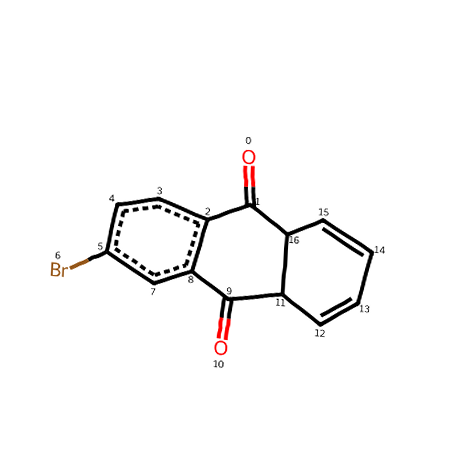 O=C1c2ccc(Br)cc2C(=O)C2C=CC=CC12